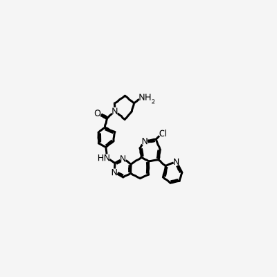 NC1CCN(C(=O)c2ccc(Nc3ncc4c(n3)C3=CN=C(Cl)C=C(c5ccccn5)C3=CC4)cc2)CC1